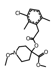 COC(=O)C1(OC(=O)Cc2c(C)ccc(Cl)c2C)CCN(OC)CC1